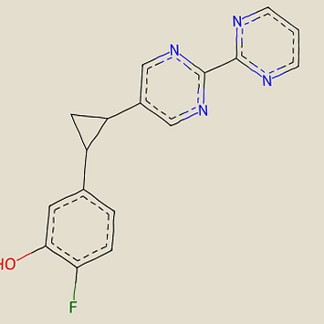 Oc1cc(C2CC2c2cnc(-c3ncccn3)nc2)ccc1F